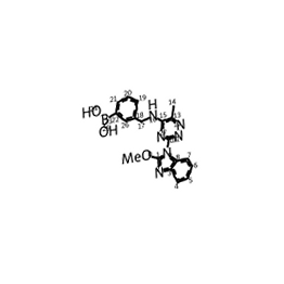 COc1nc2ccccc2n1-c1nnc(C)c(NCc2cccc(B(O)O)c2)n1